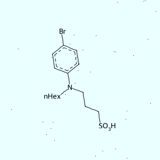 CCCCCCN(CCCS(=O)(=O)O)c1ccc(Br)cc1